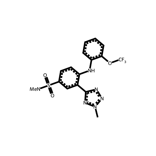 CNS(=O)(=O)c1ccc(Nc2ccccc2OC(F)(F)F)c(-c2nnn(C)n2)c1